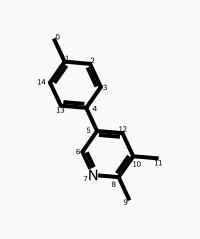 Cc1ccc(-c2cnc(C)c(C)c2)cc1